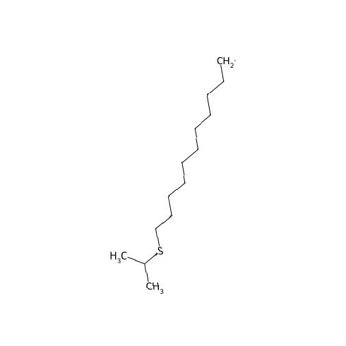 [CH2]CCCCCCCCCCSC(C)C